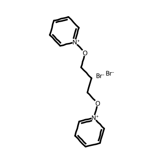 [Br-].[Br-].c1cc[n+](OCCCO[n+]2ccccc2)cc1